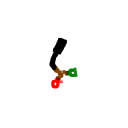 C#CC[S+]([O-])Cl